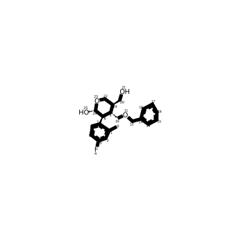 Cc1cc(F)ccc1[C@@H]1[C@@H](COCc2ccccc2)[C@H](CO)CO[C@H]1O